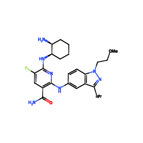 CCCc1nn(CCOC)c2ccc(Nc3nc(N[C@@H]4CCCC[C@@H]4N)c(F)cc3C(N)=O)cc12